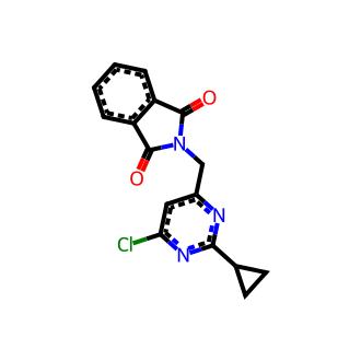 O=C1c2ccccc2C(=O)N1Cc1cc(Cl)nc(C2CC2)n1